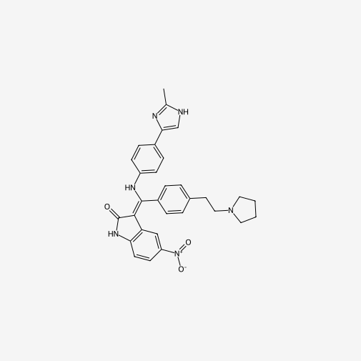 Cc1nc(-c2ccc(N/C(=C3\C(=O)Nc4ccc([N+](=O)[O-])cc43)c3ccc(CCN4CCCC4)cc3)cc2)c[nH]1